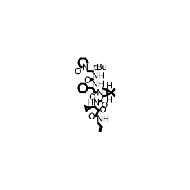 C=CCNC(=O)C(=O)C(NC(=O)[C@@H]1[C@@H]2[C@H](CN1C(=O)[C@@H](NC(=O)N[C@H](CN1CCCCC1=O)C(C)(C)C)C1CCCCC1)C2(C)C)C1CC1